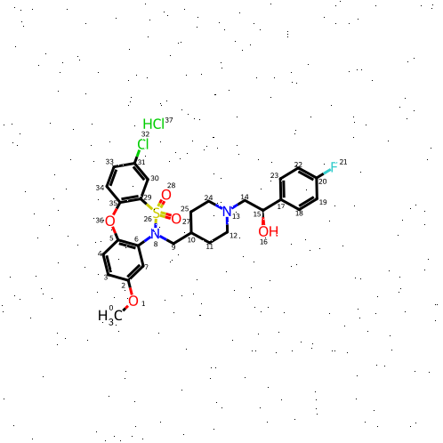 COc1ccc2c(c1)N(CC1CCN(C[C@H](O)c3ccc(F)cc3)CC1)S(=O)(=O)c1cc(Cl)ccc1O2.Cl